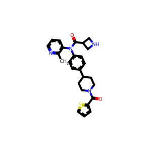 Cc1ncccc1N(C(=O)C1CNC1)c1ccc(C2CCN(C(=O)c3cccs3)CC2)cc1